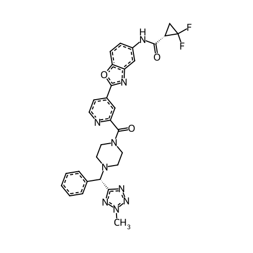 Cn1nnc([C@H](c2ccccc2)N2CCN(C(=O)c3cc(-c4nc5cc(NC(=O)[C@@H]6CC6(F)F)ccc5o4)ccn3)CC2)n1